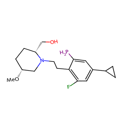 CO[C@@H]1CC[C@H](CO)N(CCc2c(F)cc(C3CC3)cc2P)C1